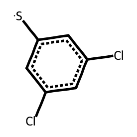 [S]c1cc(Cl)cc(Cl)c1